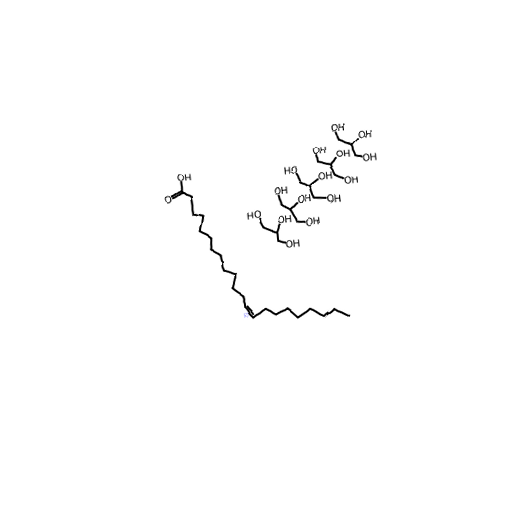 CCCCCCCC/C=C\CCCCCCCCCCCC(=O)O.OCC(O)CO.OCC(O)CO.OCC(O)CO.OCC(O)CO.OCC(O)CO